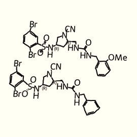 COc1ccccc1CNC(=O)NC[C@H]1C[C@@H](NS(=O)(=O)c2cc(Br)ccc2Br)CN1C#N.N#CN1C[C@H](NS(=O)(=O)c2cc(Br)ccc2Br)C[C@@H]1CNC(=O)NCc1ccccc1